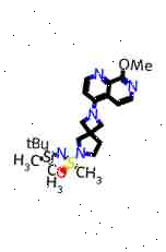 COc1nccc2c(N3CC4(CCN(S(C)(=O)=N[Si](C)(C)C(C)(C)C)C4)C3)ccnc12